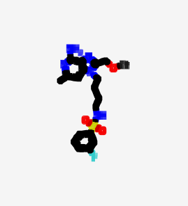 CCOCc1nc2c(N)nc(C)cc2n1CCCCNS(=O)(=O)c1cccc(F)c1